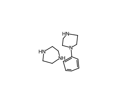 C1CNCCN1.c1ccc(N2CCNCC2)cc1